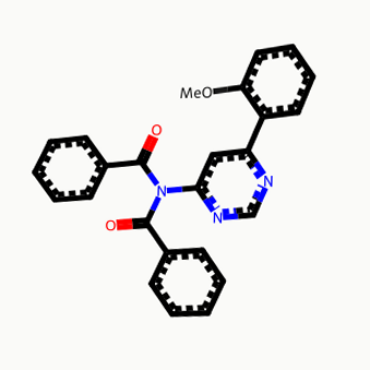 COc1ccccc1-c1cc(N(C(=O)c2ccccc2)C(=O)c2ccccc2)ncn1